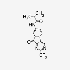 C=C(C)C(=O)Nc1ccc2c(c1)C(=O)c1nc(C(F)(F)F)ncc1-2